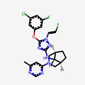 Cc1cc(N2C[C@H]3CC[C@@H](C2)[C@@H]3Nc2nc(Oc3cc(F)cc(Cl)c3)n(C=CF)n2)ncn1